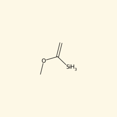 C=C([SiH3])OC